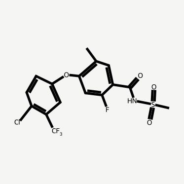 Cc1cc(C(=O)NS(C)(=O)=O)c(F)cc1Oc1ccc(Cl)c(C(F)(F)F)c1